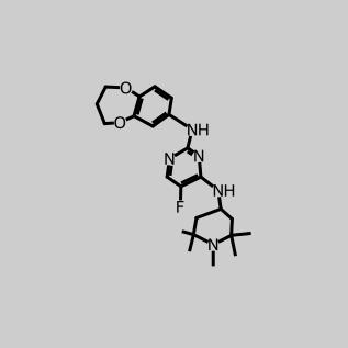 CN1C(C)(C)CC(Nc2nc(Nc3ccc4c(c3)OCCCO4)ncc2F)CC1(C)C